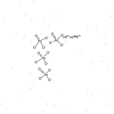 O=[As]([O-])([O-])[O-].O=[As]([O-])([O-])[O-].O=[As]([O-])([O-])[O-].O=[As]([O-])([O-])[O-].[Hf+4].[Hf+4].[Hf+4]